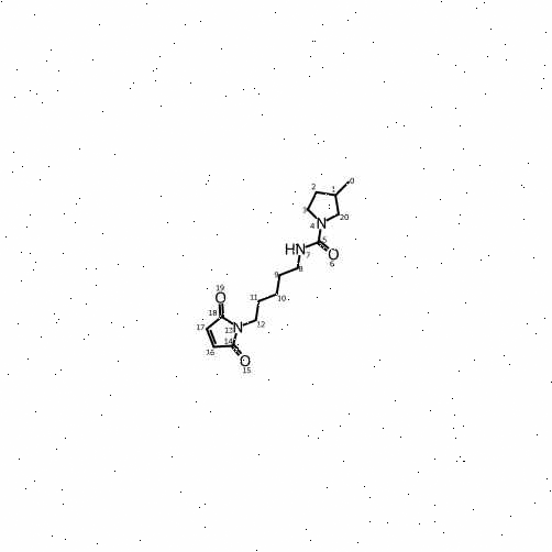 CC1CCN(C(=O)NCCCCCN2C(=O)C=CC2=O)C1